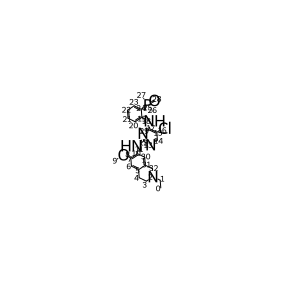 CCN1CCc2cc(OC)c(Nc3ncc(Cl)c(Nc4ccccc4P(C)(C)=O)n3)cc2C1